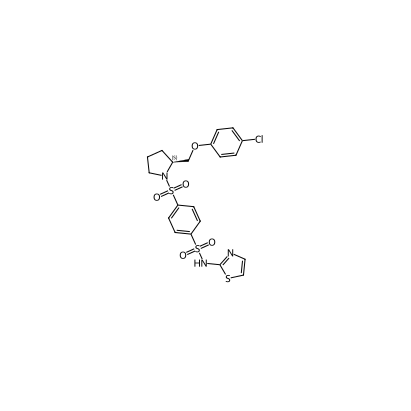 O=S(=O)(Nc1nccs1)c1ccc(S(=O)(=O)N2CCC[C@H]2COc2ccc(Cl)cc2)cc1